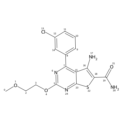 COCCOc1nc(-c2cccc(Cl)c2)c2c(N)c(C(N)=O)sc2n1